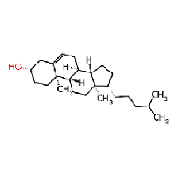 CC(C)CCC[C@H]1CC[C@H]2[C@@H]3CC=C4C[C@@H](O)CC[C@]4(C)[C@H]3CC[C@]12C